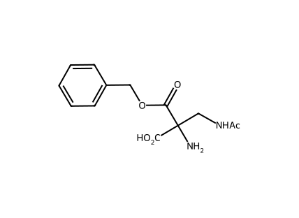 CC(=O)NCC(N)(C(=O)O)C(=O)OCc1ccccc1